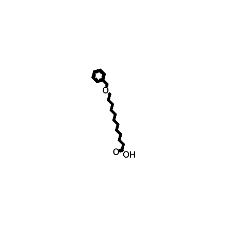 O=C(O)CCCCCCCCCCCOCc1ccccc1